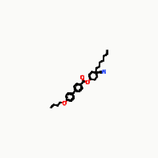 CCCCCCCC1(C#N)CCC(OC(=O)c2ccc(-c3ccc(OCCCC)cc3)cc2)CC1